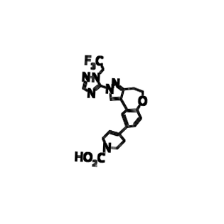 O=C(O)N1CC=C(c2ccc3c(c2)-c2cn(-c4ncnn4CC(F)(F)F)nc2CCO3)CC1